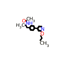 CCCCOc1cc(-c2ccc(CC(C)NC(C)=O)cc2)ccn1